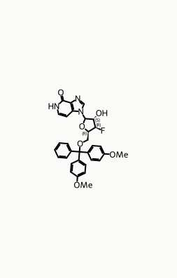 COc1ccc(C(OC[C@H]2OC(n3cnc4c(=O)[nH]ccc43)[C@H](O)[C@H]2F)(c2ccccc2)c2ccc(OC)cc2)cc1